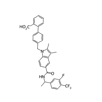 Cc1c(C)n(Cc2ccc(-c3ccccc3C(=O)O)cc2)c2ccc(C(=O)NC(C)c3ccc(C(F)(F)F)c(F)c3)cc12